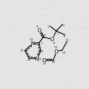 CC(C)(C)OC(=O)c1cnccn1.CCOC=O